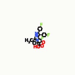 CC(C)[C@@H]1Cn2nc(-c3ccc(F)cc3)c(-c3ccc(F)cc3)c2-c2c(F)c(=O)c(C(=O)O)cn21